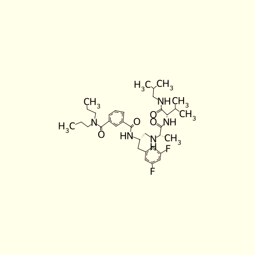 CCCN(CCC)C(=O)c1cccc(C(=O)N[C@H](CN[C@@H](C)C(=O)N[C@H](C(=O)NCC(C)C)C(C)C)Cc2cc(F)cc(F)c2)c1